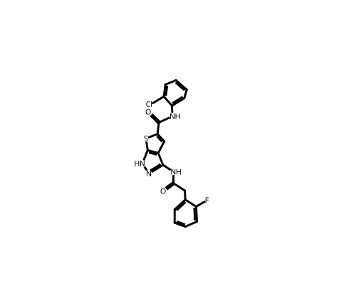 O=C(Cc1ccccc1F)Nc1n[nH]c2sc(C(=O)Nc3ccccc3Cl)cc12